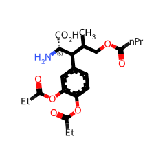 CCCC(=O)OCC(C)C(c1ccc(OC(=O)CC)c(OC(=O)CC)c1)[C@H](N)C(=O)O